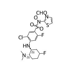 CN(C)[C@H]1CCC(F)C[C@@H]1Nc1cc(F)c(S(=O)(=O)N(OC=O)c2nccs2)cc1Cl